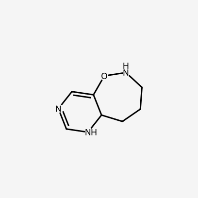 C1=NC=C2ONCCCC2N1